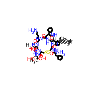 CC(=O)O.CC(=O)O.CC(O)C1NC(=O)C(CCCCN)NC(=O)C(Cc2c[nH]c3ccccc23)NC(=O)C(Cc2ccccc2)NC(=O)C(NC(=O)C(N)Cc2ccccc2)CSSCC(C(=O)N[C@H](CO)[C@@H](C)O)NC1=O